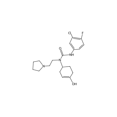 O=C(Nc1ccc(F)c(Cl)c1)N(CCN1CCCC1)C1CC=C(O)CC1